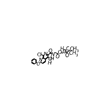 CC(C)(C)C(=O)OCOC(=O)CNC(=O)c1nc(Cl)c2nc(Oc3ccccc3)ccc2c1O